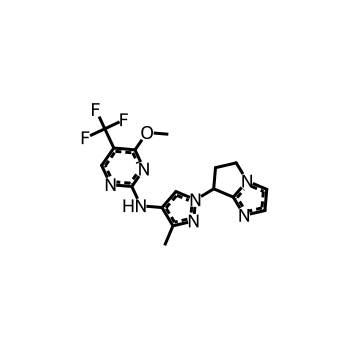 COc1nc(Nc2cn(C3CCn4ccnc43)nc2C)ncc1C(F)(F)F